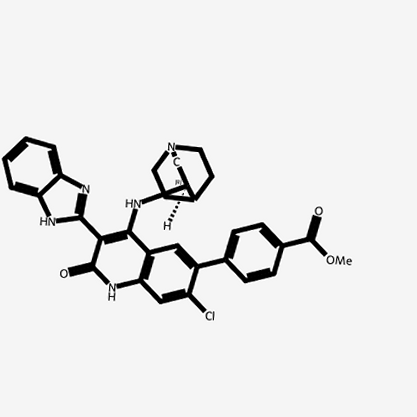 COC(=O)c1ccc(-c2cc3c(N[C@H]4CN5CCC4CC5)c(-c4nc5ccccc5[nH]4)c(=O)[nH]c3cc2Cl)cc1